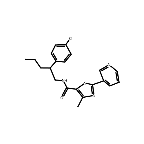 CCCC(CNC(=O)c1sc(-c2cccnc2)nc1C)c1ccc(Cl)cc1